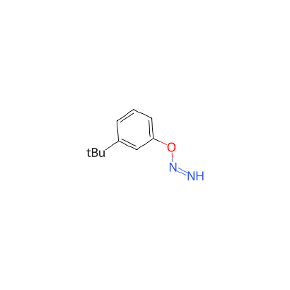 CC(C)(C)c1cccc(ON=N)c1